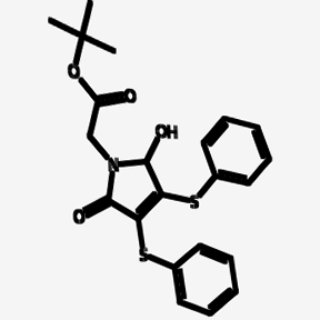 CC(C)(C)OC(=O)CN1C(=O)C(Sc2ccccc2)=C(Sc2ccccc2)C1O